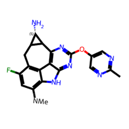 CNc1cc(F)c2c3c1[nH]c1nc(Oc4cnc(C)nc4)nc(c13)C1C(C2)[C@@H]1N